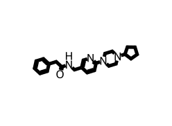 O=C(Cc1ccccc1)NCc1ccc(N2CCN(C3CCCC3)CC2)nc1